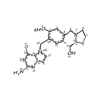 COc1cc(CN2CCC[C@H]2CO)ccc1Cn1ccc2nc(N)nc(Cl)c21